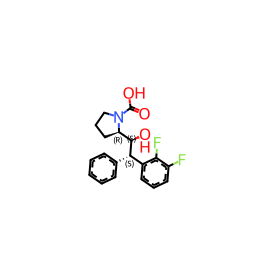 O=C(O)N1CCC[C@@H]1[C@@H](O)[C@@H](c1ccccc1)c1cccc(F)c1F